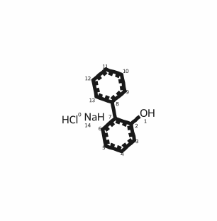 Cl.Oc1ccccc1-c1ccccc1.[NaH]